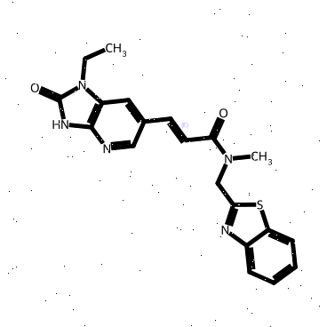 CCn1c(=O)[nH]c2ncc(/C=C/C(=O)N(C)Cc3nc4ccccc4s3)cc21